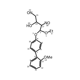 CCOC(Oc1ccc(-c2ccccc2OC)cc1)C(N=O)C(O)CN=O